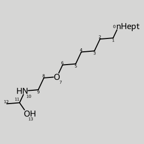 CCCCCCCCCCCCCOCCNC(C)O